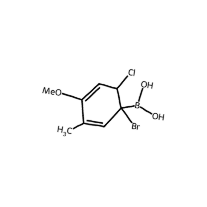 COC1=CC(Cl)C(Br)(B(O)O)C=C1C